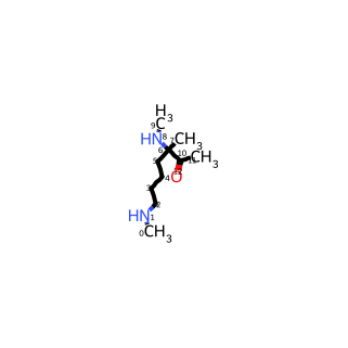 CNCCCCC(C)(NC)C(C)=O